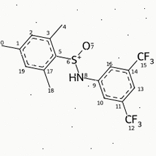 Cc1cc(C)c([S+]([O-])Nc2cc(C(F)(F)F)cc(C(F)(F)F)c2)c(C)c1